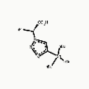 CCC[CH2][Sn]([CH2]CCC)([CH2]CCC)[c]1cn([C@H](C(=O)O)C(C)C)nn1